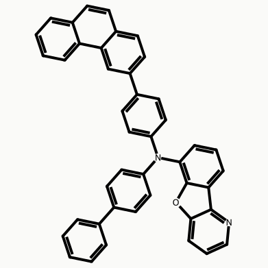 c1ccc(-c2ccc(N(c3ccc(-c4ccc5ccc6ccccc6c5c4)cc3)c3cccc4c3oc3cccnc34)cc2)cc1